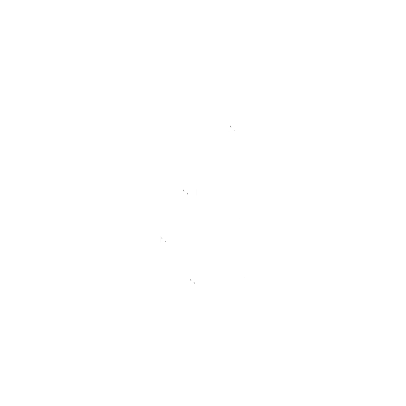 COc1nc(N)c2c(C3CCNCC3)c(C)ccc2n1